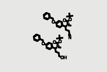 CN(C(=O)OC(C)(C)C)C(CCC#N)c1ccc(OCc2ccccc2)cc1.CN(C(=O)OC(C)(C)C)C(CCCO)c1ccc(OCc2ccccc2)cc1